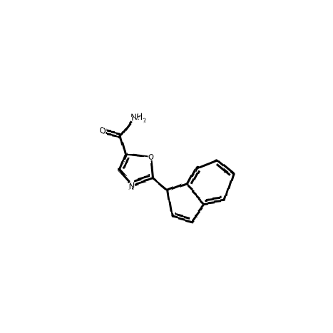 NC(=O)c1cnc(C2C=Cc3ccccc32)o1